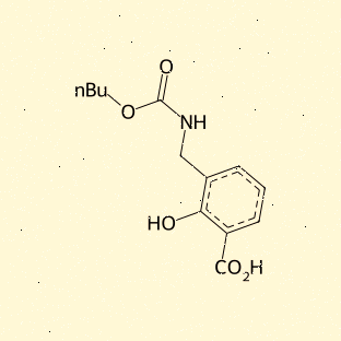 CCCCOC(=O)NCc1cccc(C(=O)O)c1O